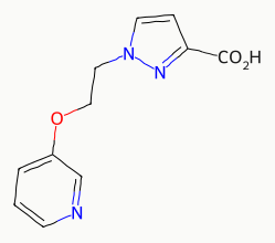 O=C(O)c1ccn(CCOc2cccnc2)n1